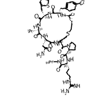 CCCNC(=O)[C@@H](CCCNC(=N)N)NC(=O)[C@@H]1CCCN1C(=O)[C@@H]1CSCCCC(=O)N[C@@H](Cc2ccc(Cl)cc2)C(=O)N[C@@H](Cc2cccs2)C(=O)N[C@@H](C(C)C)C(=O)N[C@@H](CC(N)=O)C(=O)N1